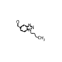 CCCCn1nnc2cc(C=O)ccc21